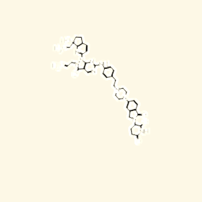 C=CCn1c(=O)c2cnc(Nc3ccc(CCN4CCN(c5ccc6c(c5)CN(C5CCC(=O)NC5=O)C6=O)CC4)cc3)nc2n1-c1ccc2c(n1)[C@@](O)(CC)CC2